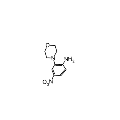 Nc1ccc([N+](=O)[O-])cc1N1CCOCC1